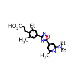 CCc1cc(-c2noc(-c3cc(C)nc(N(CC)CC)c3)n2)cc(C)c1CCC(=O)O